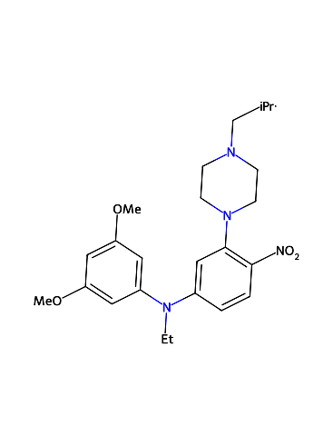 CCN(c1cc(OC)cc(OC)c1)c1ccc([N+](=O)[O-])c(N2CCN(C[C](C)C)CC2)c1